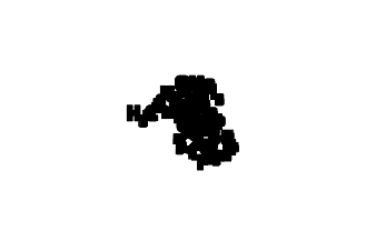 COc1cccc(OC(F)F)c1-n1c(NS(=O)(=O)C(C)C(OC)c2ncc(C)cn2)nnc1-c1cccnc1